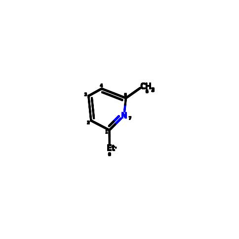 C[CH]c1cccc(C)n1